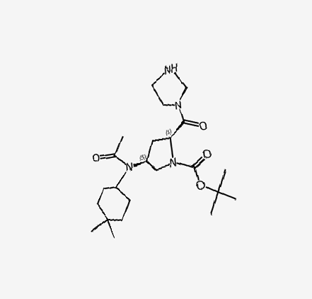 CC(=O)N(C1CCC(C)(C)CC1)[C@H]1C[C@@H](C(=O)N2CCNCC2)N(C(=O)OC(C)(C)C)C1